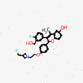 CC1=C(c2ccc(F)c(CO)c2)C(c2ccc(OCCN3CC(CF)C3)cc2)Oc2ccc(O)cc21